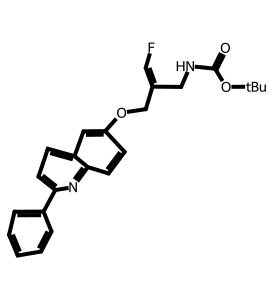 CC(C)(C)OC(=O)NCC(=CF)COc1ccc2nc(-c3ccccc3)ccc2c1